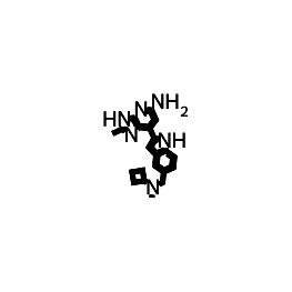 Cc1nc2c(-c3cc4cc(CN(C)C5CCC5)ccc4[nH]3)cc(N)nc2[nH]1